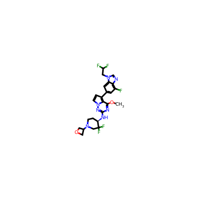 COc1nc(N[C@@H]2CCN(C3COC3)CC2(F)F)nn2ccc(-c3cc(F)c4ncn(CC(F)F)c4c3)c12